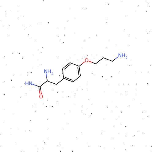 [NH]C(=O)C(N)Cc1ccc(OCCCN)cc1